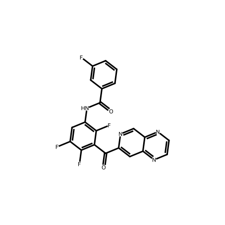 O=C(Nc1cc(F)c(F)c(C(=O)c2cc3nccnc3cn2)c1F)c1cccc(F)c1